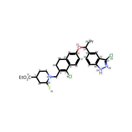 CCOC(=O)C1CCN(CC2=C(Cl)c3ccc(OC(c4ccc5[nH]nc(Cl)c5c4)C(C)C)cc3CC2)C(F)C1